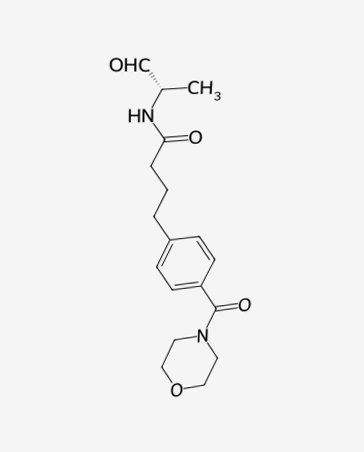 C[C@@H](C=O)NC(=O)CCCc1ccc(C(=O)N2CCOCC2)cc1